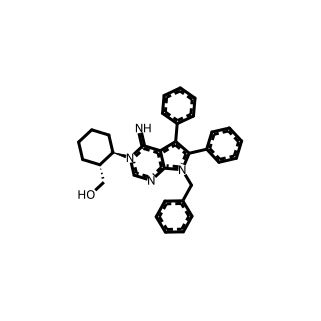 N=c1c2c(-c3ccccc3)c(-c3ccccc3)n(Cc3ccccc3)c2ncn1[C@@H]1CCCC[C@H]1CO